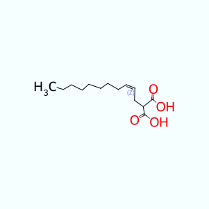 CCCCCCCC/C=C\CC(C(=O)O)C(=O)O